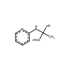 CCCCCCC(C)(Bc1ccccn1)CCC